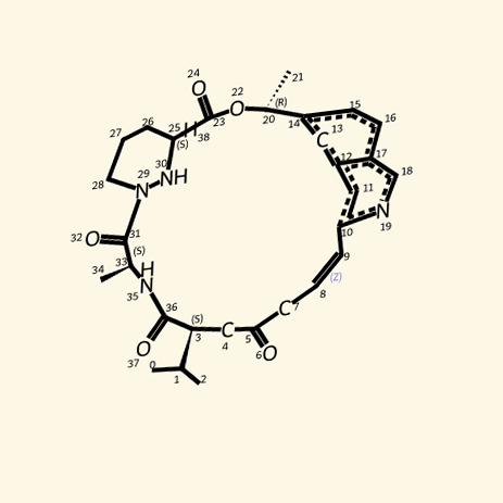 CC(C)[C@@H]1CC(=O)C/C=C\c2cc3cc(ccc3cn2)[C@@H](C)OC(=O)[C@@H]2CCCN(N2)C(=O)[C@H](C)NC1=O